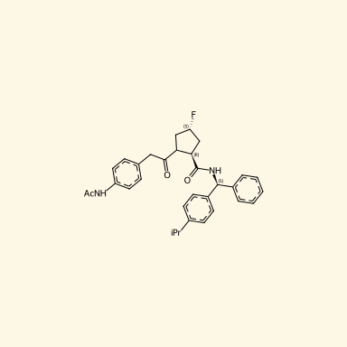 CC(=O)Nc1ccc(CC(=O)C2C[C@H](F)C[C@H]2C(=O)N[C@@H](c2ccccc2)c2ccc(C(C)C)cc2)cc1